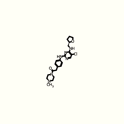 CN1CCN(C(=O)Cc2ccc(Nc3ncc(Cl)c(NC[C@H]4CCCO4)n3)cc2)CC1